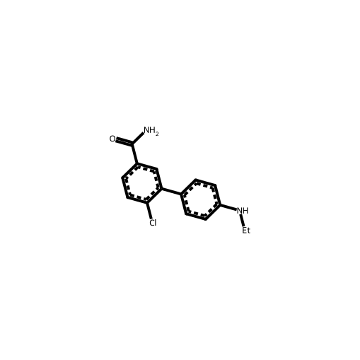 CCNc1ccc(-c2cc(C(N)=O)ccc2Cl)cc1